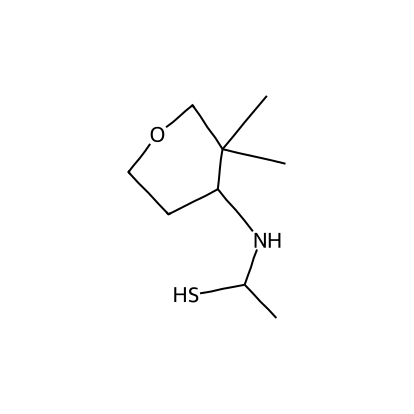 CC(S)NC1CCOCC1(C)C